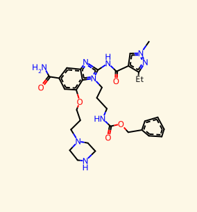 CCc1nn(C)cc1C(=O)Nc1nc2cc(C(N)=O)cc(OCCCN3CCNCC3)c2n1CCCNC(=O)OCc1ccccc1